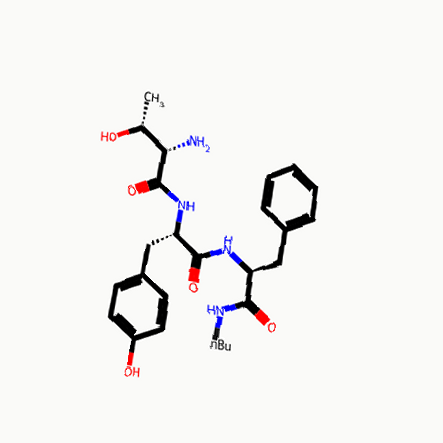 CCCCNC(=O)[C@H](Cc1ccccc1)NC(=O)[C@H](Cc1ccc(O)cc1)NC(=O)[C@@H](N)[C@@H](C)O